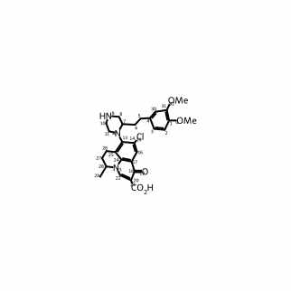 COc1ccc(CCC2CNCCN2c2c(Cl)cc3c(=O)c(C(=O)O)cn4c3c2CCC4C)cc1OC